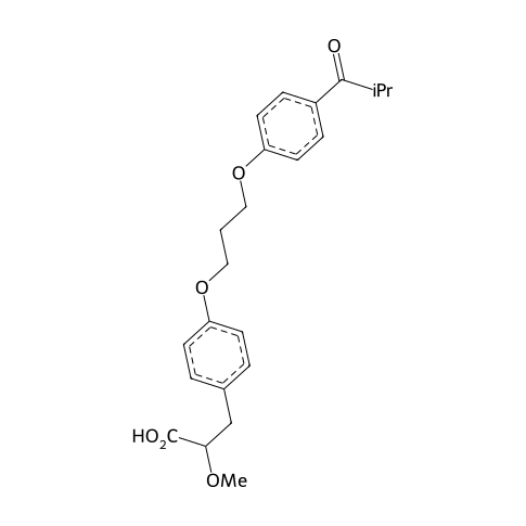 COC(Cc1ccc(OCCCOc2ccc(C(=O)C(C)C)cc2)cc1)C(=O)O